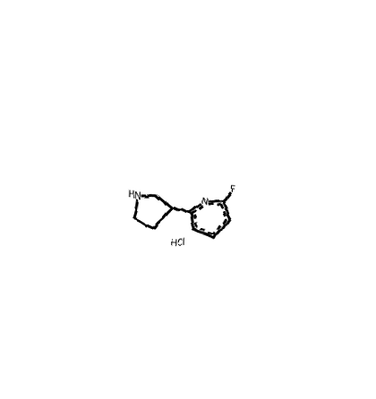 Cl.Fc1cccc(C2CCNC2)n1